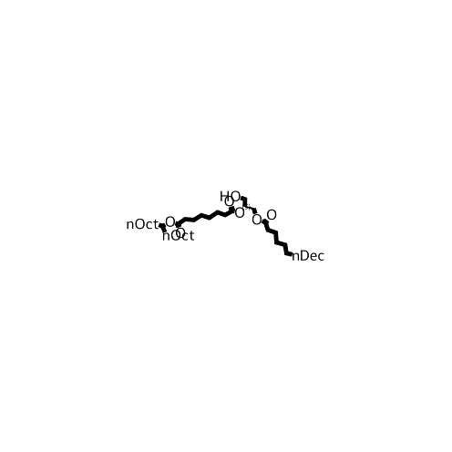 CCCCCCCCCCCCCCCC(=O)OC[C@H](CO)OC(=O)CCCCCCC(=O)OC(CCCCCCCC)CCCCCCCC